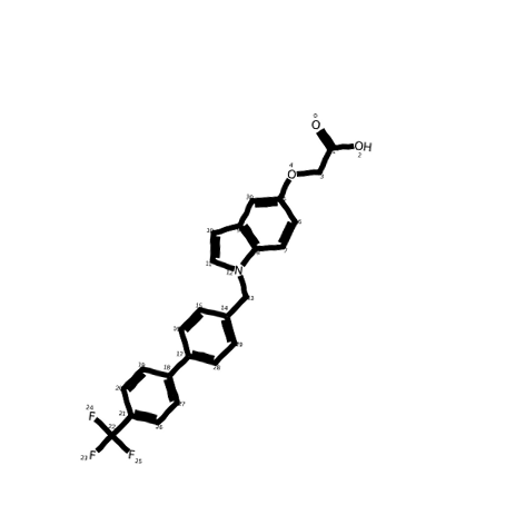 O=C(O)COc1ccc2c(ccn2Cc2ccc(-c3ccc(C(F)(F)F)cc3)cc2)c1